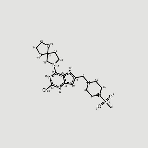 CS(=O)(=O)N1CCN(Cc2cc3nc(Cl)nc(N4CCC5(C4)OCCO5)c3s2)CC1